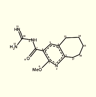 COc1nc2c(cc1C(=O)NC(=N)N)CCCCC2